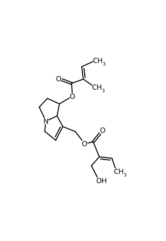 C/C=C(\C)C(=O)OC1CCN2CC=C(COC(=O)/C(=C/C)CO)C12